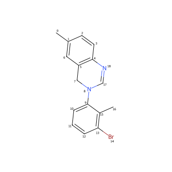 Cc1ccc2c(c1)CN(c1cccc(Br)c1C)C=N2